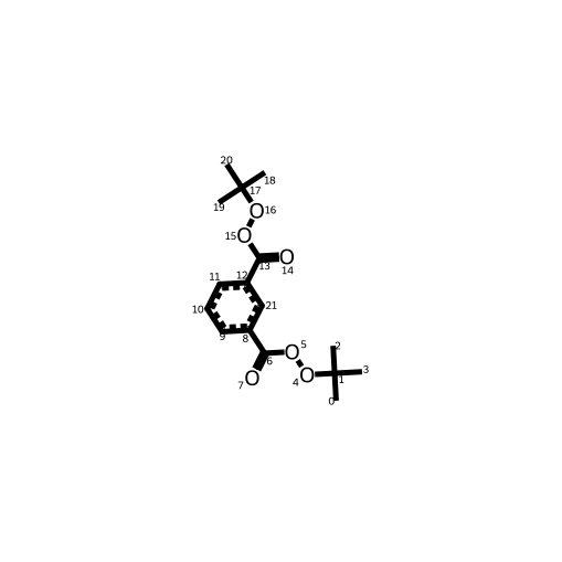 CC(C)(C)OOC(=O)c1cccc(C(=O)OOC(C)(C)C)c1